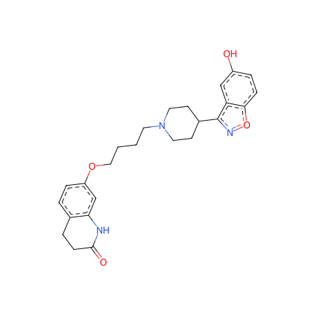 O=C1CCc2ccc(OCCCCN3CCC(c4noc5ccc(O)cc45)CC3)cc2N1